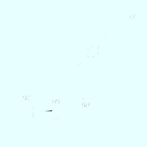 N#C[C@H]1C[C@@H]1C(=O)Nc1c[nH]c2ccc(O[C@H]3C[C@@H](c4ccc(C(F)(F)F)cc4)C3)cc12